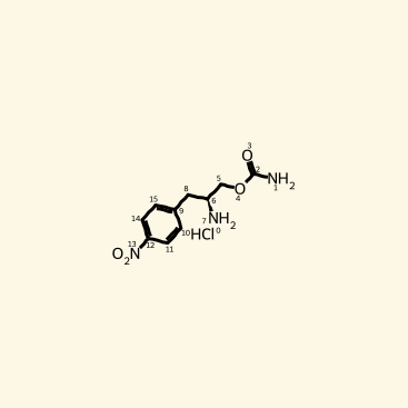 Cl.NC(=O)OC[C@@H](N)Cc1ccc([N+](=O)[O-])cc1